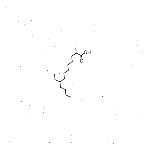 CCCCC(CC)CCCCCCC(C)C(=O)O